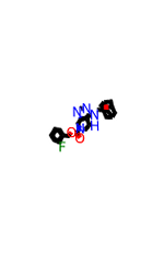 O=C(OCc1ccccc1F)N1CCc2c(ncnc2NCC23CC4CC(CC(C4)C2)C3)C1